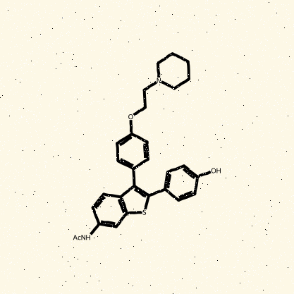 CC(=O)Nc1ccc2c(-c3ccc(OCCN4CCCCC4)cc3)c(-c3ccc(O)cc3)sc2c1